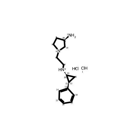 Cl.Cl.N[C@@H]1CCN(CCN[C@@H]2C[C@H]2c2ccccc2)C1